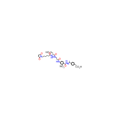 C/C(=N\NC(=O)c1ccc(NC(=O)CCNC(=O)[C@H](CS(=O)(=O)O)NC(=O)CCCCCN2C(=O)C=CC2=O)cc1[N+](=O)[O-])c1ccc(CC(=O)O)cc1